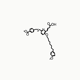 COC(=O)c1ccc(CSCc2ccc(OCCCCCCCCc3ccc(OC)cc3)c(C=CCC(=O)O)n2)cc1